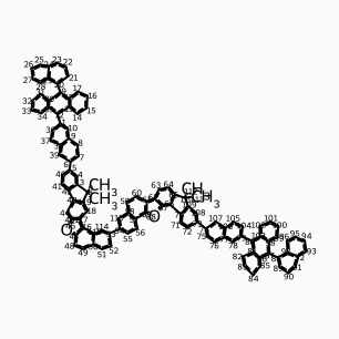 CC1(C)c2cc(-c3ccc4cc(-c5c6ccccc6c(-c6cccc7ccccc67)c6ccccc56)ccc4c3)ccc2-c2cc3oc4ccc5ccc(-c6ccc7c(ccc8c9ccc%10c(c9oc78)-c7ccc(-c8ccc9cc(-c%11c%12ccccc%12c(-c%12cccc%13ccccc%12%13)c%12ccccc%11%12)ccc9c8)cc7C%10(C)C)c6)cc5c4c3cc21